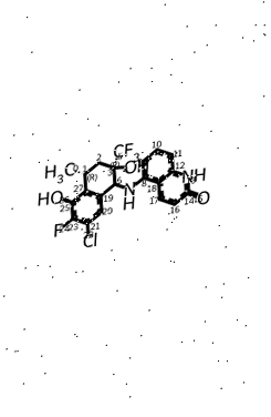 C[C@@H]1C[C@](O)(C(F)(F)F)C(Nc2cccc3[nH]c(=O)ccc23)c2cc(Cl)c(F)c(O)c21